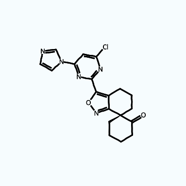 O=C1CCCC[C@@]12CCCc1c2noc1-c1nc(Cl)cc(-n2ccnc2)n1